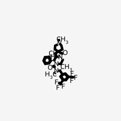 Cc1ccccc1[C@H]1[C@@H]2CC3(CCN(C)CC3)C(=O)N2CCN1C(=O)N(C)[C@H](C)c1cc(C(F)(F)F)cc(C(F)(F)F)c1